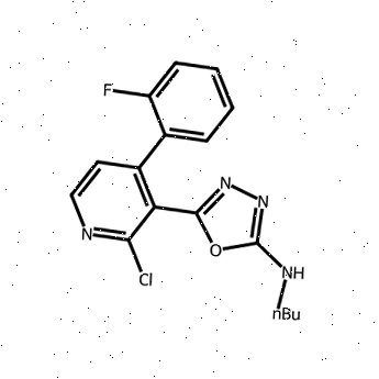 CCCCNc1nnc(-c2c(-c3ccccc3F)ccnc2Cl)o1